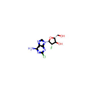 Nc1nc(Cl)nc2c1ncn2[C@@H]1O[C@H](CO)C(O)[C@@H]1F